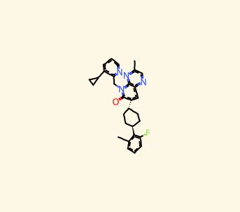 Cc1cnc2cc([C@H]3CC[C@H](c4c(C)cccc4F)CC3)c(=O)n(Cc3ncccc3C3CC3)c2n1